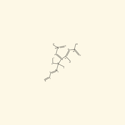 C=C/C=N/C(C)(CC)C(=C/[N+](=C)C)/C(C)=C/C(=C)C